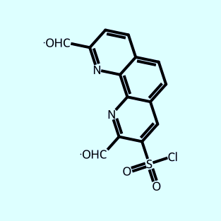 O=[C]c1ccc2ccc3cc(S(=O)(=O)Cl)c([C]=O)nc3c2n1